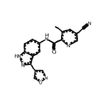 Cc1cc(C#N)cnc1C(=O)Nc1ccc2[nH]nc(-c3cnoc3)c2c1